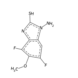 COc1c(F)cc2c(nc(S)n2N)c1F